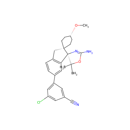 BC1(B)OC(N)=N[C@]12c1cc(-c3cc(Cl)cc(C#N)c3)ccc1C[C@]21CC[C@@H](OC)CC1